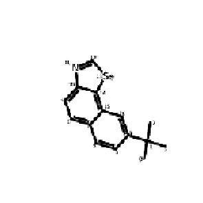 CC(C)(C)c1ccc2ccc3nc[se]c3c2c1